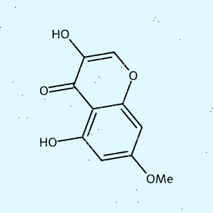 COc1cc(O)c2c(=O)c(O)coc2c1